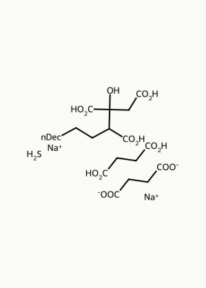 CCCCCCCCCCCCC(C(=O)O)C(O)(CC(=O)O)C(=O)O.O=C(O)CCC(=O)O.O=C([O-])CCC(=O)[O-].S.[Na+].[Na+]